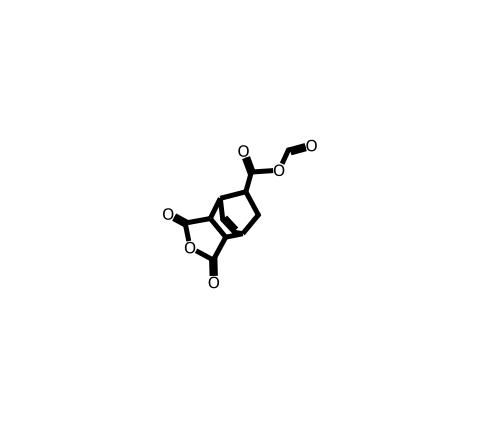 O=COC(=O)C1CC2C=CC1C1C(=O)OC(=O)C21